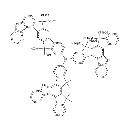 CCCCCCCCC1(CCCCCCCC)c2cc(N(c3ccc4c(c3)C(C)(C)c3c5c(c6c(oc7ccccc76)c3-4)-c3ccccc3C5(C)C)c3ccc4c(c3)C(CCCCCCC)(CCCCCCC)c3c5c(c6oc7ccccc7c6c3-4)-c3ccccc3C5(CCCCCCC)CCCCCCC)ccc2-c2cc3c(cc21)-c1c(ccc2oc4ccccc4c12)C3(CCCCCCCC)CCCCCCCC